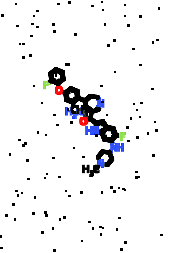 Cc1cc(Oc2ccccc2F)ccc1C1CCN=CC(C(=O)c2cc3cc(F)c(NC4CCN(C)CC4)cc3[nH]2)=C1N